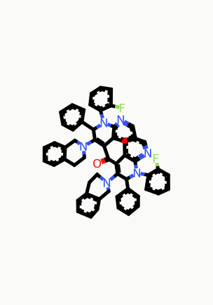 O=C(C1=C(N2CCc3ccccc3C2)C(c2ccccc2)N(c2ccccc2F)c2ncccc21)C1=C(N2CCc3ccccc3C2)C(c2ccccc2)N(c2ccccc2F)c2ncccc21